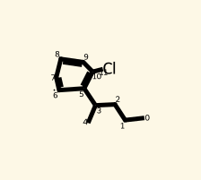 CCCC(C)c1[c]cccc1Cl